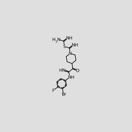 N=C(N)SC(=N)N1CCC(C(=O)C(=N)Nc2ccc(F)c(Br)c2)CC1